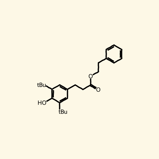 CC(C)(C)c1cc(CCC(=O)OCCc2ccccc2)cc(C(C)(C)C)c1O